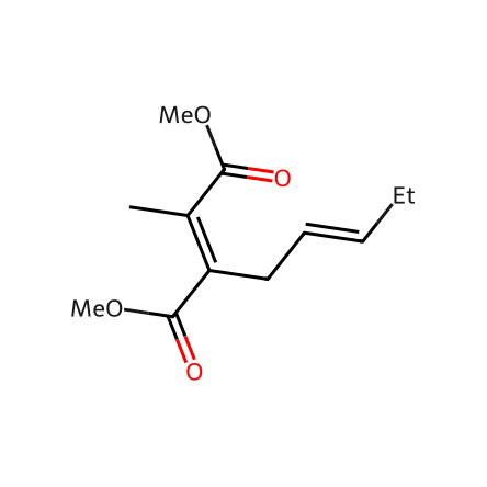 CCC=CCC(C(=O)OC)=C(C)C(=O)OC